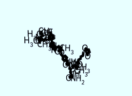 Cc1c(CCOc2c(-c3ccc4ncc(CN(C)C(=O)OCc5ccc(NC(=O)[C@H](CCCNC(N)=O)NC(=O)[C@@H](NC(=O)CCCCCN6C(=O)C=CC6=O)C(C)C)cc5)n4c3)ccc(F)c2F)c(C(O)C(C)(C)C)nn1C